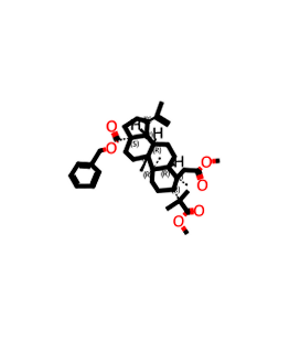 C=C(C)[C@@H]1CC[C@]2(C(=O)OCc3ccccc3)CC[C@]3(C)[C@H](CC[C@@H]4[C@@](C)(CC(=O)OC)[C@H](C(C)(C)C(=O)OC)CC[C@]43C)[C@@H]12